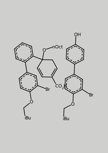 CCC(C)COc1ccc(-c2ccc(O)cc2)cc1Br.CCCCCCCCOC1(c2ccccc2-c2ccc(OCC(C)CC)c(Br)c2)C=CC(C(=O)O)=CC1